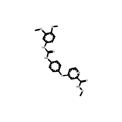 CONC(=O)c1cc(Oc2ccc(NC(=O)Nc3ccc(OC)c(OC)c3)cc2)ccn1